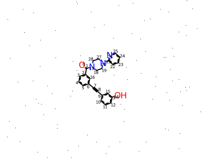 O=C(c1cccc(C#Cc2cccc(O)c2)c1)N1CCN(c2ccccn2)CC1